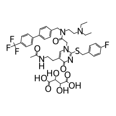 CCN(CC)CCN(Cc1ccc(-c2ccc(C(F)(F)F)cc2)cc1)C(=O)Cn1cc(CCNC(C)=O)c(=O)nc1SCc1ccc(F)cc1.O=C(O)C(O)C(O)C(=O)O